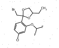 CCC1COC(CBr)(c2ccc(Cl)cc2OC(F)F)O1